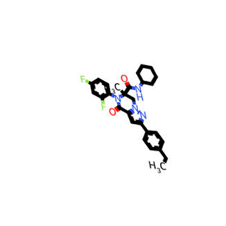 CCc1ccc(-c2cc3n(n2)CC(C)(C(=O)NC2CCCCC2)N(c2ccc(F)cc2F)C3=O)cc1